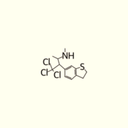 CNC(C)C(c1ccc2c(c1)SCC2)C(Cl)(Cl)Cl